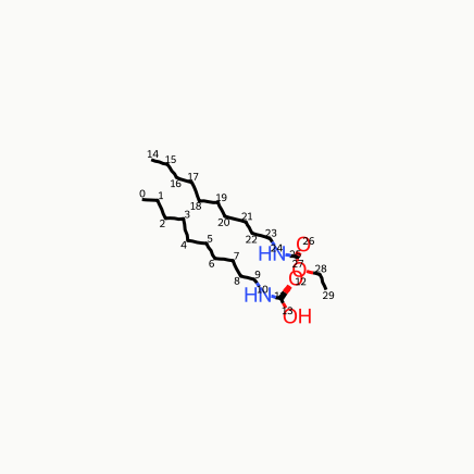 CCCCCCCCCCNC(=O)O.CCCCCCCCCCNC(=O)OCC